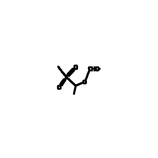 CC(O[C]=O)S(C)(=O)=O